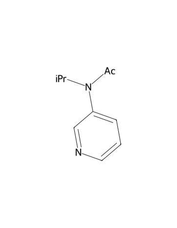 CC(=O)N(c1cccnc1)C(C)C